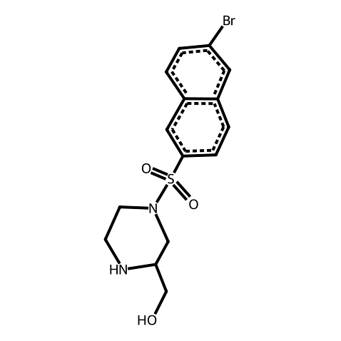 O=S(=O)(c1ccc2cc(Br)ccc2c1)N1CCNC(CO)C1